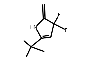 C=C1NC(C(C)(C)C)=CC1(F)F